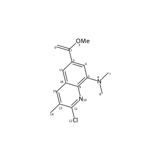 C=C(OC)c1cc(N(C)C)c2nc(Cl)c(C)cc2c1